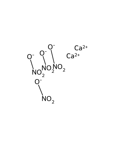 O=[N+]([O-])[O-].O=[N+]([O-])[O-].O=[N+]([O-])[O-].O=[N+]([O-])[O-].[Ca+2].[Ca+2]